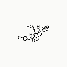 CN(CCN1CCn2c(c(C#CCO)cc(C(=O)NCc3ccc(Cl)cc3)c2=O)C1O)S(C)(=O)=O